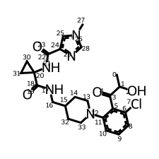 CC(O)C(=O)c1c(Cl)cccc1N1CCC(CNC(=O)C2(NC(=O)c3cn(C)cn3)CC2)CC1